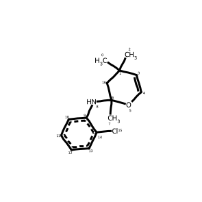 CC1(C)C=COC(C)(Nc2ccccc2Cl)C1